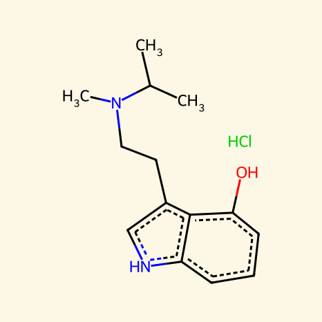 CC(C)N(C)CCc1c[nH]c2cccc(O)c12.Cl